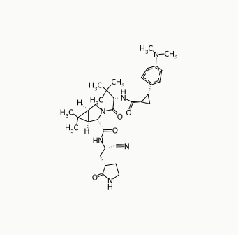 CN(C)c1ccc([C@@H]2C[C@H]2C(=O)N[C@H](C(=O)N2C[C@H]3[C@@H]([C@H]2C(=O)N[C@H](C#N)C[C@@H]2CCNC2=O)C3(C)C)C(C)(C)C)cc1